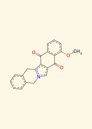 COc1cccc2c1C(=O)c1cn3c(c1C2=O)Cc1ccccc1C3